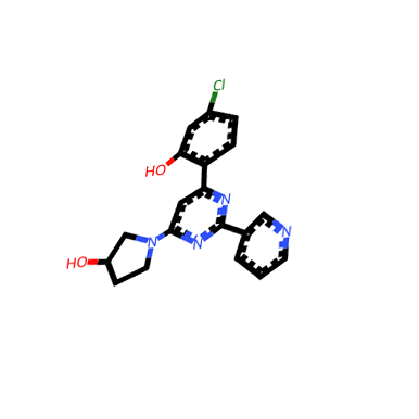 Oc1cc(Cl)ccc1-c1cc(N2CCC(O)C2)nc(-c2cccnc2)n1